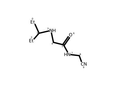 CCC(CC)NCC(=O)NCC#N